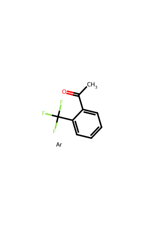 CC(=O)c1ccccc1C(F)(F)F.[Ar]